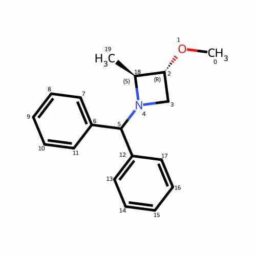 CO[C@@H]1CN(C(c2ccccc2)c2ccccc2)[C@H]1C